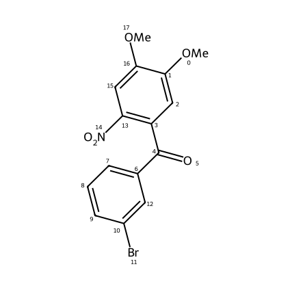 COc1cc(C(=O)c2cccc(Br)c2)c([N+](=O)[O-])cc1OC